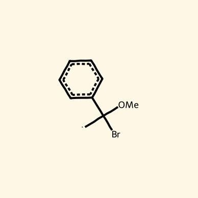 [CH2]C(Br)(OC)c1ccccc1